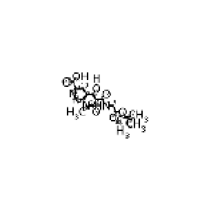 Cn1c(=O)c(C(=O)NCC(=O)OC(C)(C)C)c(O)c2cc(C(=O)O)nnc21